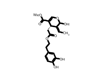 C/C=C1\C(O)OC=C(C(=O)OC)[C@H]1CC(=O)OCCc1ccc(O)c(O)c1